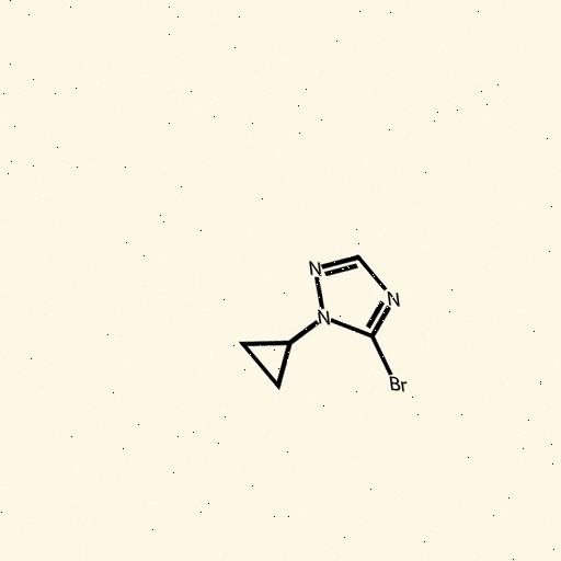 Brc1ncnn1C1CC1